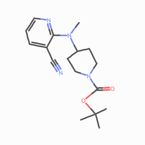 CN(c1ncccc1C#N)C1CCN(C(=O)OC(C)(C)C)CC1